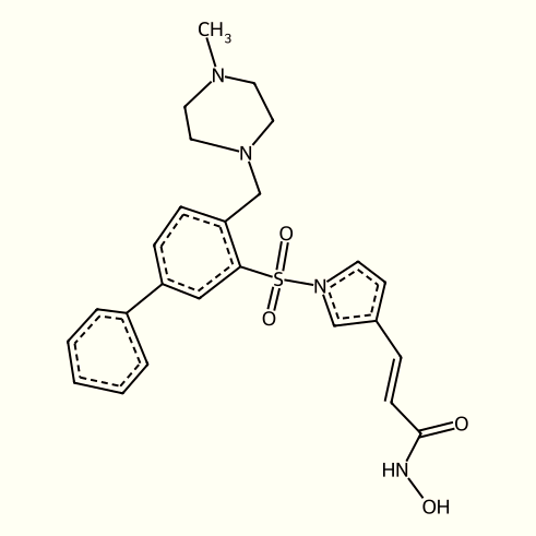 CN1CCN(Cc2ccc(-c3ccccc3)cc2S(=O)(=O)n2ccc(C=CC(=O)NO)c2)CC1